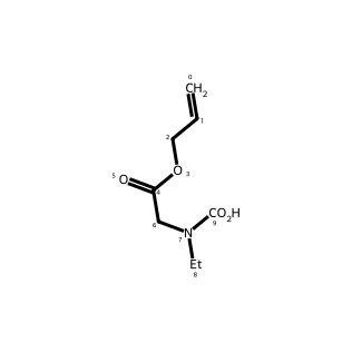 C=CCOC(=O)CN(CC)C(=O)O